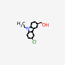 CCn1c2ccc(Cl)cc2c2cc(CO)ccc21